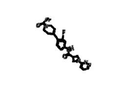 CC(C)C(=O)N1CCC(c2ccc(NC(=O)C3CN(c4cccnn4)C3)cc2F)CC1